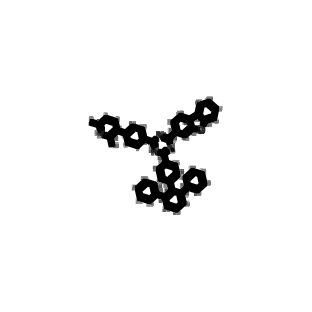 Cc1ccc(-c2ccc(-c3nc(-c4ccc(-c5c(-c6ccccc6)cccc5-c5ccccc5)cc4)nc(-c4ccc5c(c4)oc4ccccc45)n3)cc2)c(C)n1